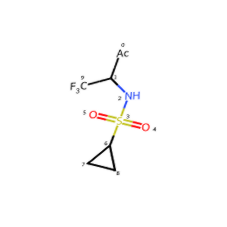 CC(=O)C(NS(=O)(=O)C1CC1)C(F)(F)F